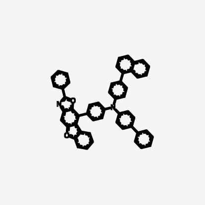 c1ccc(-c2ccc(N(c3ccc(-c4cccc5ccccc45)cc3)c3ccc(-c4c5oc(-c6ccccc6)nc5cc5oc6ccccc6c45)cc3)cc2)cc1